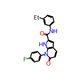 CCc1cccc(NC(=O)c2cc3ccc(=O)n(-c4ccc(F)cc4)c3[nH]2)c1